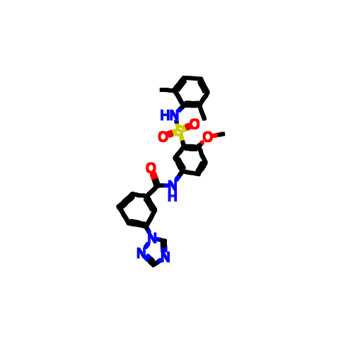 COc1ccc(NC(=O)c2cccc(-n3cncn3)c2)cc1S(=O)(=O)Nc1c(C)cccc1C